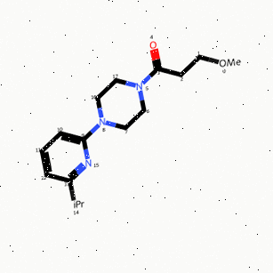 COCCC(=O)N1CCN(c2cccc(C(C)C)n2)CC1